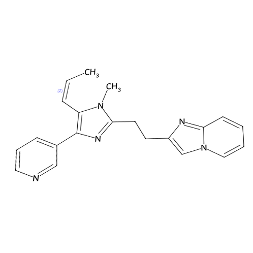 C/C=C\c1c(-c2cccnc2)nc(CCc2cn3ccccc3n2)n1C